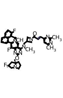 C#Cc1c(F)ccc2cccc(-c3ncc4c(N(C)CC5CN(C(=O)/C=C/c6cc(C)nc(C)n6)C5)nc(OC[C@@]56CCCN5C[C@H](F)C6)nc4c3F)c12